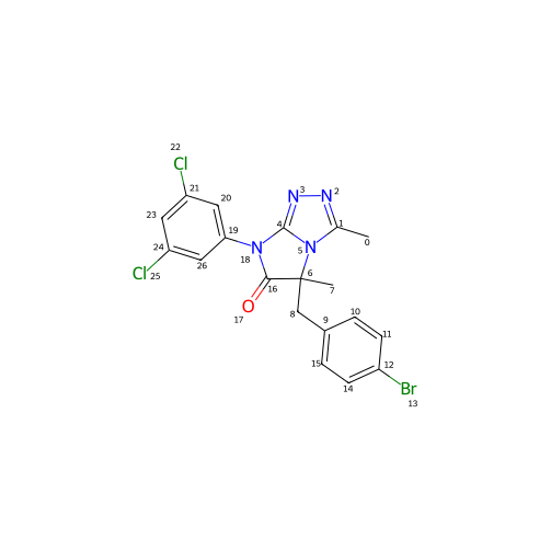 Cc1nnc2n1C(C)(Cc1ccc(Br)cc1)C(=O)N2c1cc(Cl)cc(Cl)c1